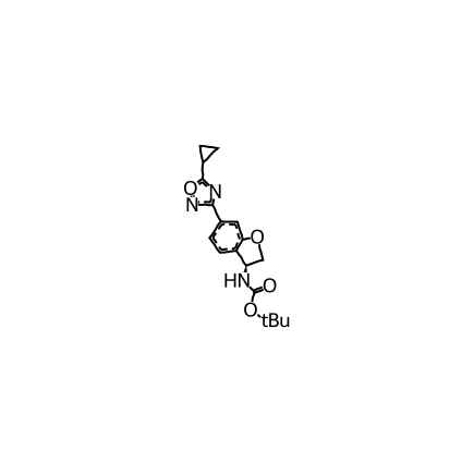 CC(C)(C)OC(=O)N[C@@H]1COc2cc(-c3noc(C4CC4)n3)ccc21